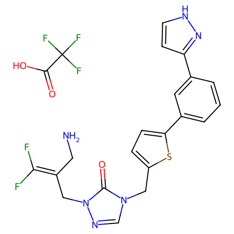 NCC(Cn1ncn(Cc2ccc(-c3cccc(-c4cc[nH]n4)c3)s2)c1=O)=C(F)F.O=C(O)C(F)(F)F